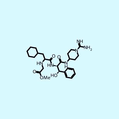 COC(=O)CNC(CC1CCCCC1)C(=O)N[C@@H](C(=O)NC1CCN(C(=N)N)CC1)[C@H](O)c1ccccc1